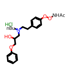 CCCCN(CCc1ccc(OONC(C)=O)cc1)CC(O)COc1ccccc1.Cl